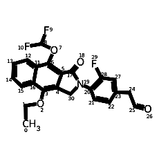 CCOc1c2c(c(OC(F)F)c3ccccc13)C(=O)N(c1ccc(CC=O)cc1F)C2